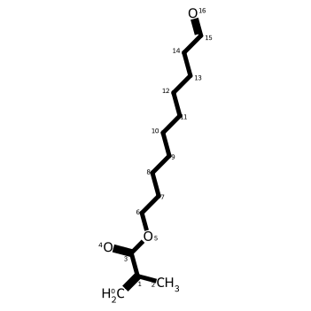 C=C(C)C(=O)OCCCCCCCCCC=O